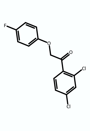 O=C(COc1ccc(F)cc1)c1ccc(Cl)cc1Cl